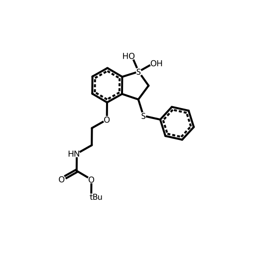 CC(C)(C)OC(=O)NCCOc1cccc2c1C(Sc1ccccc1)CS2(O)O